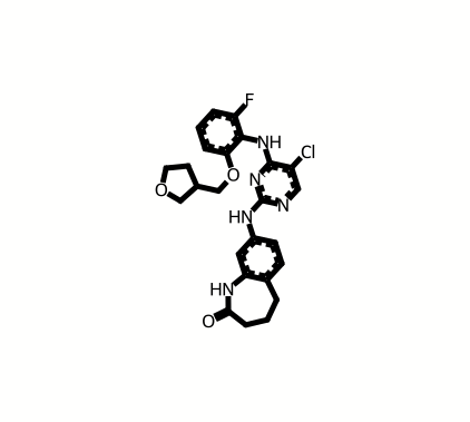 O=C1CCCc2ccc(Nc3ncc(Cl)c(Nc4c(F)cccc4OCC4CCOC4)n3)cc2N1